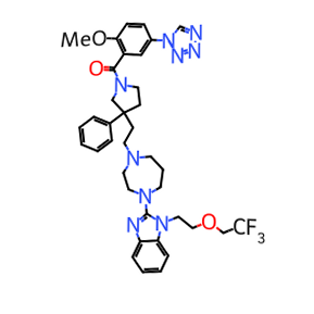 COc1ccc(-n2cnnn2)cc1C(=O)N1CCC(CCN2CCCN(c3nc4ccccc4n3CCOCC(F)(F)F)CC2)(c2ccccc2)C1